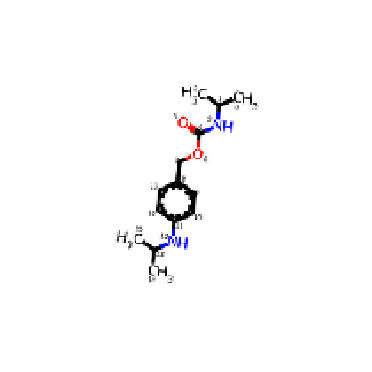 CC(C)NC(=O)OCc1ccc(NC(C)C)cc1